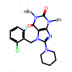 CCCCn1c(=O)c2c(nc(N3CCCCC3)n2Cc2c(F)cccc2Cl)n(C(C)C)c1=O